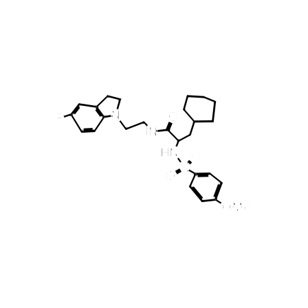 COc1ccc(S(=O)(=O)NC(CC2CCCCC2)C(=O)NCCN2CCc3cc(F)ccc32)cc1